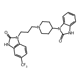 O=c1[nH]c2cc(C(F)(F)F)ccc2n1CCCN1CCC(n2c(=O)[nH]c3ccccc32)CC1